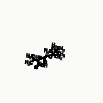 CC(C)C(NC(=O)CO[Si](C)(C)C(C)(C)C)C(=O)O